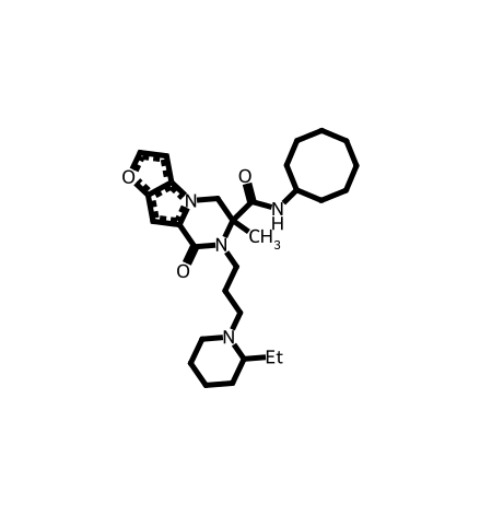 CCC1CCCCN1CCCN1C(=O)c2cc3occc3n2CC1(C)C(=O)NC1CCCCCCC1